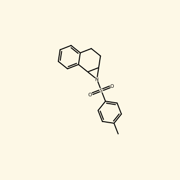 Cc1ccc(S(=O)(=O)N2C3CCc4ccccc4C32)cc1